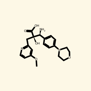 COc1ccnc(C[C@](O)(C(=O)O)[C@@H](N)c2ccc(N3CCOCC3)cc2)c1